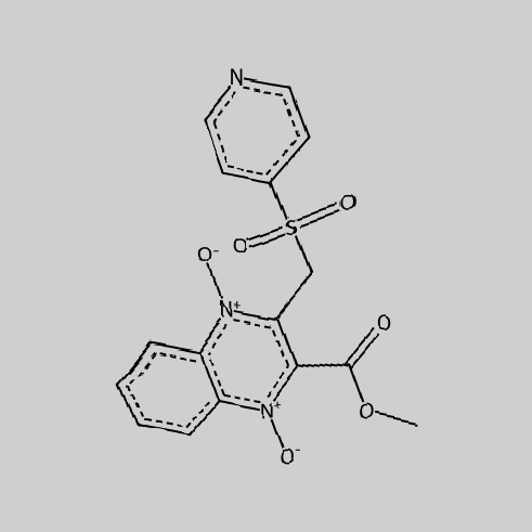 COC(=O)c1c(CS(=O)(=O)c2ccncc2)[n+]([O-])c2ccccc2[n+]1[O-]